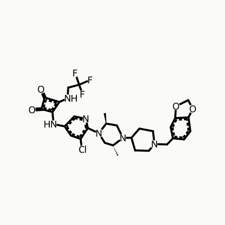 C[C@@H]1CN(c2ncc(Nc3c(NCC(F)(F)F)c(=O)c3=O)cc2Cl)[C@@H](C)CN1C1CCN(Cc2ccc3c(c2)OCO3)CC1